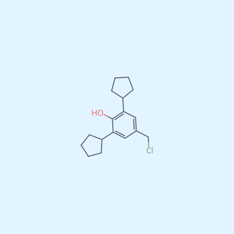 Oc1c(C2CCCC2)cc(CCl)cc1C1CCCC1